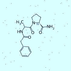 CC(NC(=O)Cc1ccccc1)C(=O)N1CCC[C@H]1C(N)=O